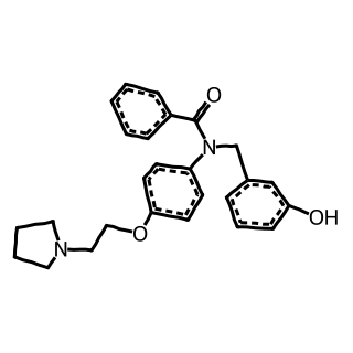 O=C(c1ccccc1)N(Cc1cccc(O)c1)c1ccc(OCCN2CCCC2)cc1